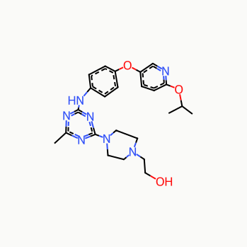 Cc1nc(Nc2ccc(Oc3ccc(OC(C)C)nc3)cc2)nc(N2CCN(CCO)CC2)n1